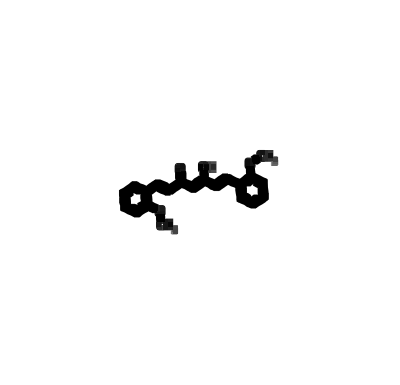 COc1ccccc1C=CC(=O)C=C(O)C=Cc1ccccc1OC